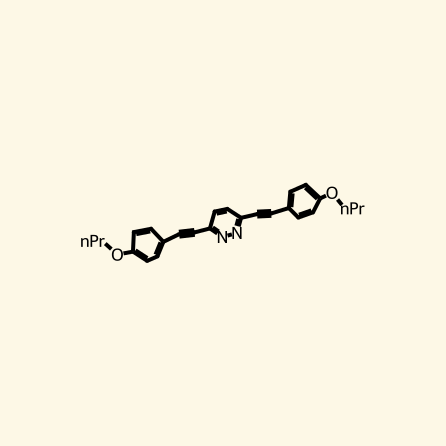 CCCOc1ccc(C#Cc2ccc(C#Cc3ccc(OCCC)cc3)nn2)cc1